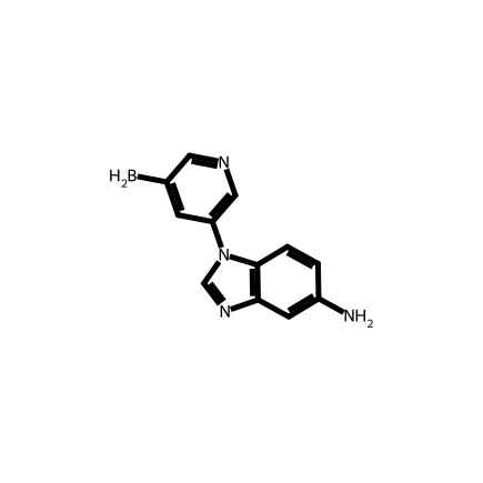 Bc1cncc(-n2cnc3cc(N)ccc32)c1